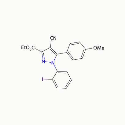 CCOC(=O)c1nn(-c2ccccc2I)c(-c2ccc(OC)cc2)c1C#N